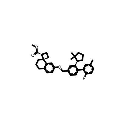 COC(=O)[C@H]1CC[C@@]12CCCc1ccc(OCc3ccc(-c4cc(C)ccc4F)c([C@@H]4CCCC4(C)C)c3)cc12